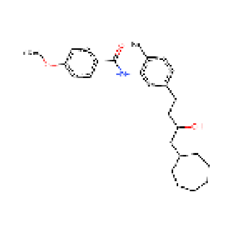 CCCCCCCCCCOc1ccc(C(=O)Nc2cc(CCC(O)CC3CCCCCC3)ccc2C(C)(C)C)cc1